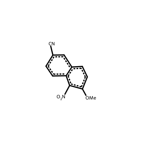 COc1ccc2cc(C#N)ccc2c1[N+](=O)[O-]